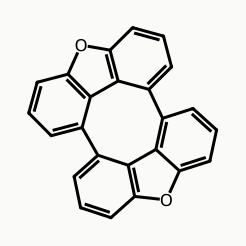 c1cc2oc3cccc4c5cccc6oc7cccc(c(c1)c2c34)c7c65